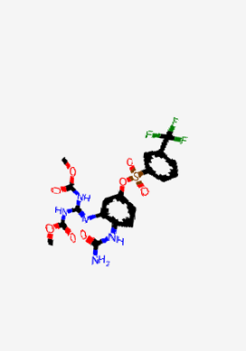 COC(=O)NC(=Nc1cc(OS(=O)(=O)c2cccc(C(F)(F)F)c2)ccc1NC(N)=O)NC(=O)OC